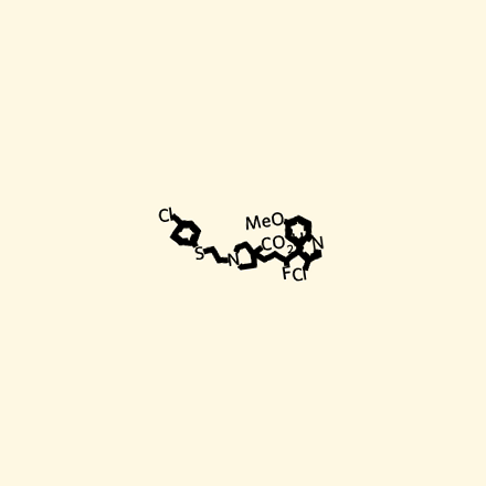 COc1ccc2ncc(Cl)c(C(F)CCC3(C(=O)O)CCN(CCSc4ccc(Cl)cc4)CC3)c2c1